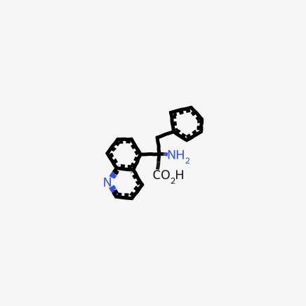 NC(Cc1ccccc1)(C(=O)O)c1cccc2ncccc12